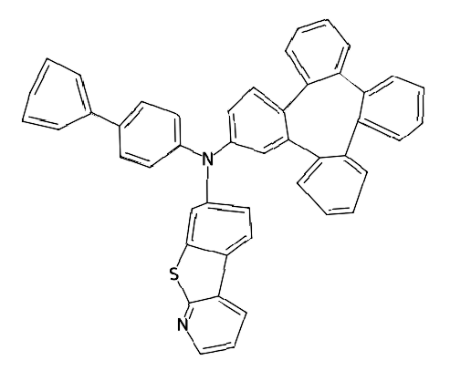 c1ccc(-c2ccc(N(c3ccc4c(c3)-c3ccccc3-c3ccccc3-c3ccccc3-4)c3ccc4c(c3)sc3ncccc34)cc2)cc1